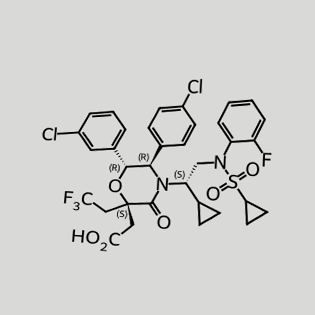 O=C(O)C[C@@]1(CC(F)(F)F)O[C@H](c2cccc(Cl)c2)[C@@H](c2ccc(Cl)cc2)N([C@H](CN(c2ccccc2F)S(=O)(=O)C2CC2)C2CC2)C1=O